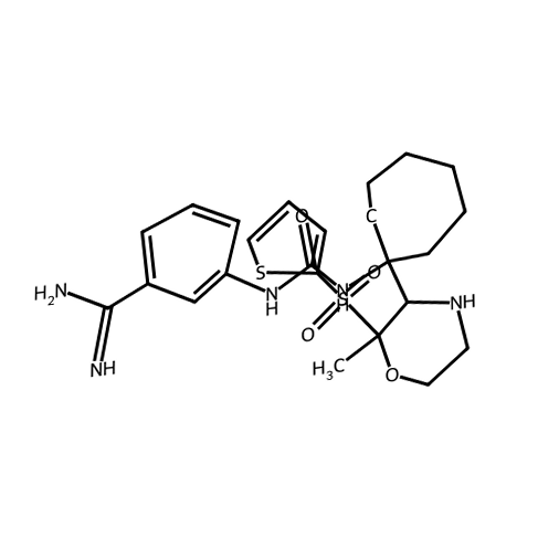 CC1(S(=O)(=O)c2cccs2)OCCNC1C1(NC(=O)Nc2cccc(C(=N)N)c2)CCCCCC1